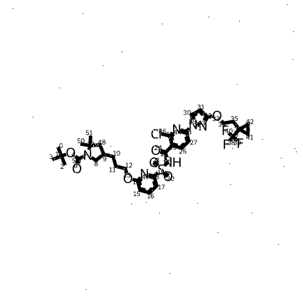 CC(C)(C)OC(=O)N1CC(CCCOc2cccc(S(=O)(=O)NC(=O)c3ccc(-n4ccc(OCCC5(C(F)(F)F)CC5)n4)nc3Cl)n2)CC1(C)C